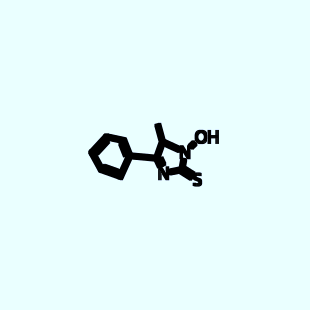 CC1C(c2ccccc2)=NC(=S)N1O